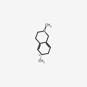 C[C@@H]1C=C2CCN(C)CC2=CC1